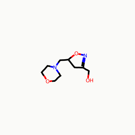 OCC1=NOC(CN2CCOCC2)C1